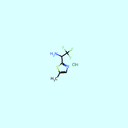 Cc1cnc(C(N)C(F)(F)F)s1.Cl